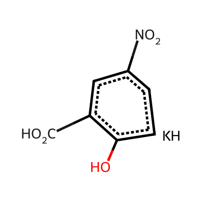 O=C(O)c1cc([N+](=O)[O-])ccc1O.[KH]